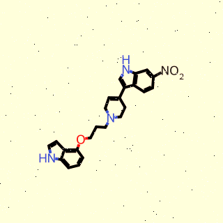 O=[N+]([O-])c1ccc2c(C3=CCN(CCCOc4cccc5[nH]ccc45)CC3)c[nH]c2c1